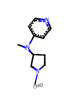 CN(c1ccncc1)C1CCN(C=O)C1